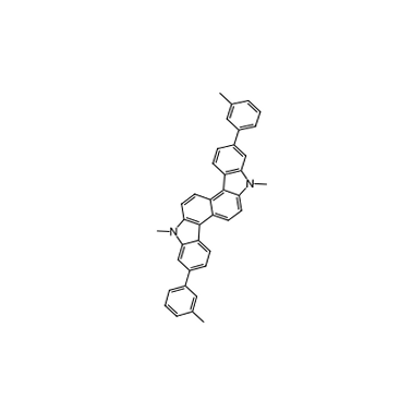 Cc1cccc(-c2ccc3c4c5ccc6c(c5ccc4n(C)c3c2)c2ccc(-c3cccc(C)c3)cc2n6C)c1